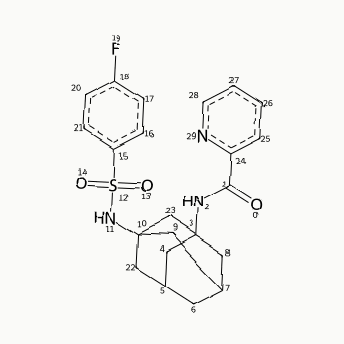 O=C(NC12CC3CC(C1)CC(NS(=O)(=O)c1ccc(F)cc1)(C3)C2)c1ccccn1